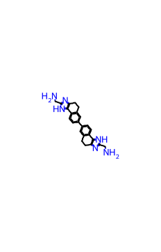 NCc1nc2c([nH]1)-c1ccc(-c3ccc4c(c3)CCc3nc(CN)[nH]c3-4)cc1CC2